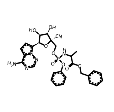 CC(NP(=O)(OC[C@@]1(C#N)O[C@@H](c2ccc3c(N)ncnn23)[C@@H](O)[C@@H]1O)Oc1ccccc1)C(=O)OCc1ccccc1